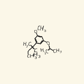 CCC(C)(C)c1cc(OC)cc(OC(C)C)c1